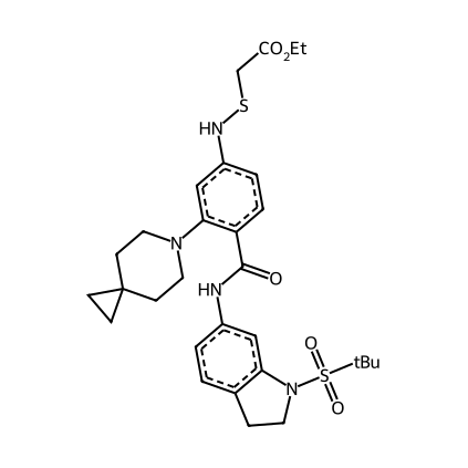 CCOC(=O)CSNc1ccc(C(=O)Nc2ccc3c(c2)N(S(=O)(=O)C(C)(C)C)CC3)c(N2CCC3(CC2)CC3)c1